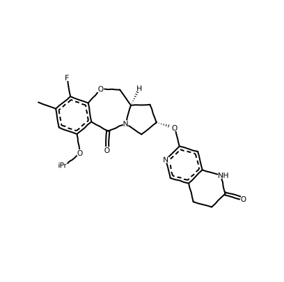 Cc1cc(OC(C)C)c2c(c1F)OC[C@H]1C[C@H](Oc3cc4c(cn3)CCC(=O)N4)CN1C2=O